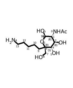 CC(=O)N[C@@H]1[C@@H](O)[C@H](O)[C@](CO)(CCCCCN)O[C@H]1O